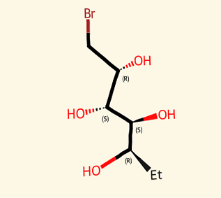 CC[C@@H](O)[C@H](O)[C@H](O)[C@@H](O)CBr